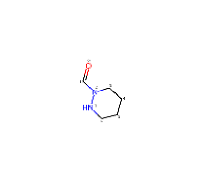 O=[C]N1CCCCN1